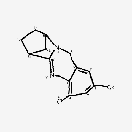 Clc1cc(Cl)c2c(c1)CN1C(=N2)C2CCC1C2